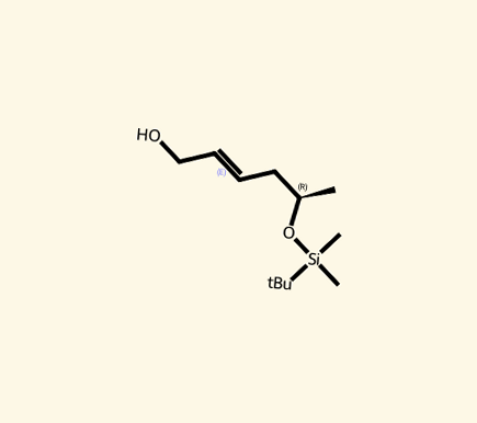 C[C@H](C/C=C/CO)O[Si](C)(C)C(C)(C)C